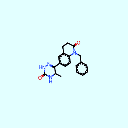 CC1NC(=O)NN=C1c1ccc2c(c1)CCC(=O)N2Cc1ccccc1